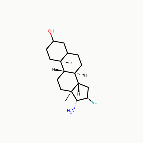 C[C@]12CC[C@H]3[C@@H](CCC4CC(O)CC[C@@]43C)[C@@H]1C[C@@H](F)[C@@H]2N